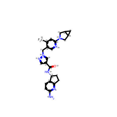 Nc1ccc2c(n1)CC[C@H]2NC(=O)c1cnn(Cc2cnc(N3CC4CC4C3)cc2C(F)(F)F)c1